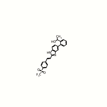 CC(O)c1ccccc1-c1ccc2[nH]c(C=Cc3ccc(S(=O)(=O)C(F)(F)F)cc3)nc2c1